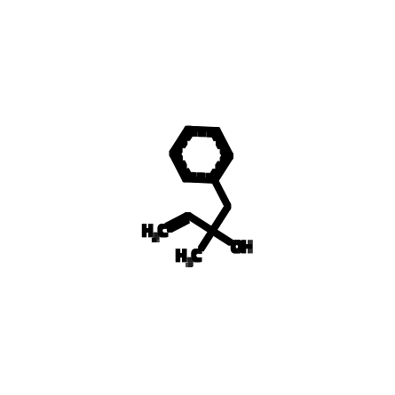 C=CC(C)(O)Cc1ccccc1